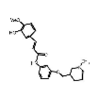 COc1ccc(C=CC(=O)Nc2cccc(OCC3CCCN(C)C3)c2)cc1O